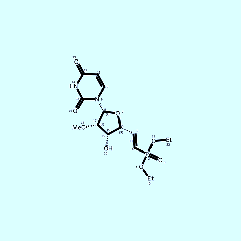 CCOP(=O)(/C=C/[C@H]1O[C@@H](n2ccc(=O)[nH]c2=O)[C@@H](OC)[C@H]1O)OCC